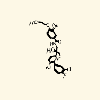 COc1cc(C(=O)NCC(O)(CF)c2ccc(OC)c(-c3ccc(F)c(Cl)c3)n2)ccc1OCCO